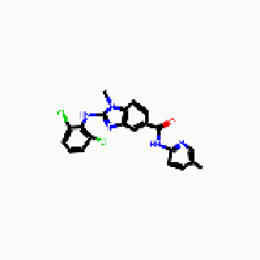 Cc1ccc(NC(=O)c2ccc3c(c2)nc(Nc2c(Cl)cccc2Cl)n3C)nc1